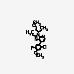 CCc1nc2c(-c3cc(F)c(OC)cc3Cl)ccnc2n1C(CC)CCOC